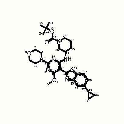 COc1nc(N2CCOCC2)nc(NC2CCCN(C(=O)OC(C)(C)C)C2)c1-c1nc2cc(C3CC3)ccc2s1